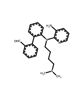 CN(C)CCCCN(c1ccccc1-c1ccccc1C=O)c1ncccc1N